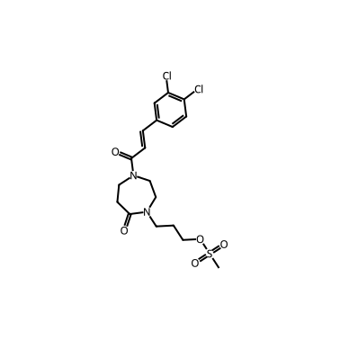 CS(=O)(=O)OCCCN1CCN(C(=O)C=Cc2ccc(Cl)c(Cl)c2)CCC1=O